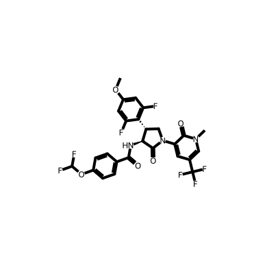 COc1cc(F)c([C@@H]2CN(c3cc(C(F)(F)F)cn(C)c3=O)C(=O)[C@H]2NC(=O)c2ccc(OC(F)F)cc2)c(F)c1